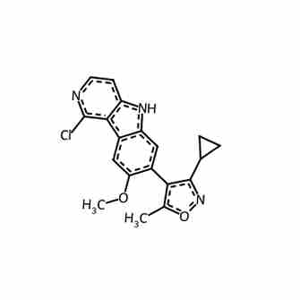 COc1cc2c(cc1-c1c(C3CC3)noc1C)[nH]c1ccnc(Cl)c12